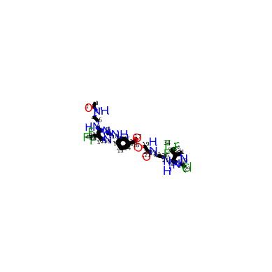 CC(=O)NCCNc1nc(Nc2cccc(C(=O)OCC(=O)NCCNc3nc(Cl)ncc3C(F)(F)F)c2)ncc1C(F)(F)F